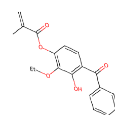 C=C(C)C(=O)Oc1ccc(C(=O)c2ccccc2)c(O)c1OCC